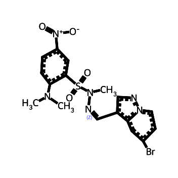 CN(C)c1ccc([N+](=O)[O-])cc1S(=O)(=O)N(C)/N=C\c1cnn2ccc(Br)cc12